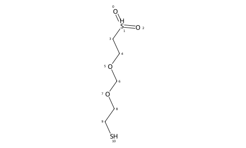 O=[SH](=O)CCOCOCCS